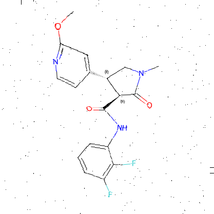 COc1cc([C@@H]2CN(C)C(=O)[C@H]2C(=O)Nc2cccc(F)c2F)ccn1